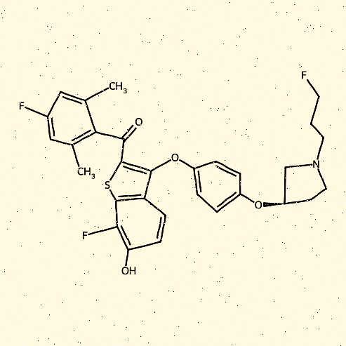 Cc1cc(F)cc(C)c1C(=O)c1sc2c(F)c(O)ccc2c1Oc1ccc(O[C@@H]2CCN(CCCF)C2)cc1